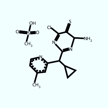 CS(=O)(=O)O.Cc1ccnc(C(C2=NC(N)C(=S)C(Cl)=N2)C2CC2)c1